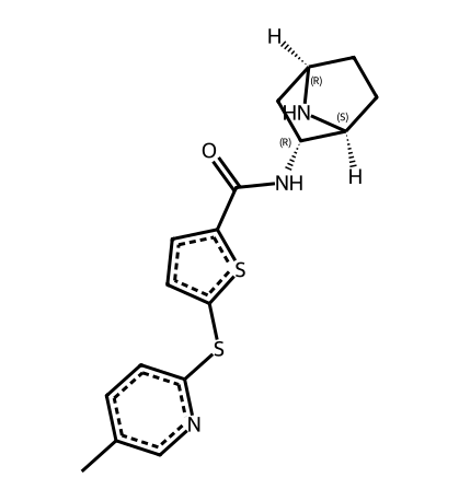 Cc1ccc(Sc2ccc(C(=O)N[C@@H]3C[C@H]4CC[C@@H]3N4)s2)nc1